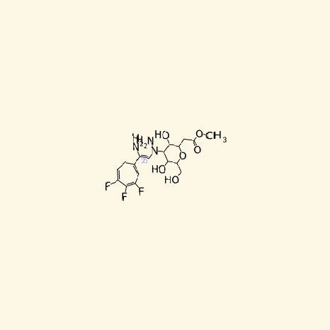 COC(=O)CC1OC(CO)C(O)C(N(N)/C=C(\N)C2=CC(F)=C(F)C(F)=CC2)C1O